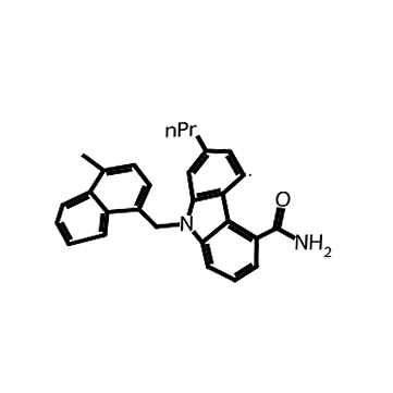 CCCc1c[c]c2c3c(C(N)=O)cccc3n(Cc3ccc(C)c4ccccc34)c2c1